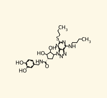 CCCCNc1nc(SCCC)nc2c1nnn2C1C[C@H](C(=O)NCc2ccc(O)c(O)c2)C(O)C1O